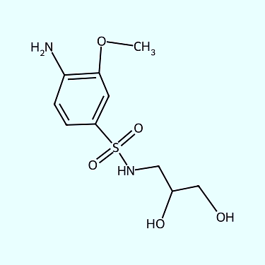 COc1cc(S(=O)(=O)NCC(O)CO)ccc1N